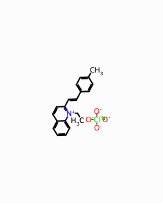 CC[n+]1c(C=Cc2ccc(C)cc2)ccc2ccccc21.[O-][Cl+3]([O-])([O-])[O-]